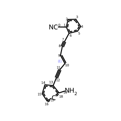 N#Cc1ccccc1C#C/C=C/C#Cc1ccccc1N